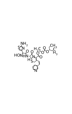 CCC(CC)OC(=O)O[C@H](C)OC(=O)C1=C(/C=C\c2cccnc2)CS[C@H]2[C@H](NC(=O)C(=NO)c3csc(N)n3)C(=O)N12